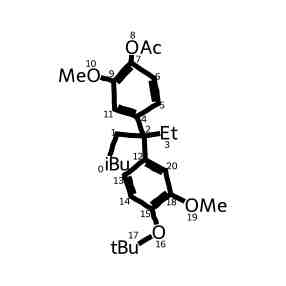 CCC(C)CC(CC)(c1ccc(OC(C)=O)c(OC)c1)c1ccc(OC(C)(C)C)c(OC)c1